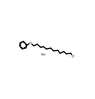 [Na+].[O-]CCCCCCCCCCCCOc1ccccc1